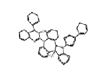 CN1C(N2C3=C(CCC=C3)C3N(c4ccc(C5=CC=CCC5)cc4)c4ccccc4C3(C)c3ccccc32)=NC2=C(CCC=C2)C1C1=CCCC=C1